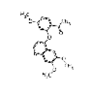 COc1ccc(C(C)=O)c(Oc2ccnc3cc(OC)c(OC)cc23)c1